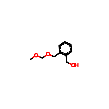 COCOCc1ccccc1CO